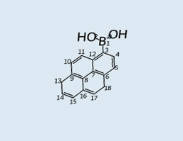 OB(O)c1ccc2c3c4c(ccc13)CC=CC4=CC2